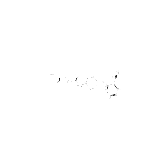 COC(=O)CNC(=O)N[C@H]1CC[C@H](Oc2ncccc2C#N)CC1